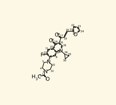 CC(=O)N1CCN(c2cc3c(cc2F)c(=O)c(C(=O)C=Cc2ccco2)cn3C2CC2)CC1